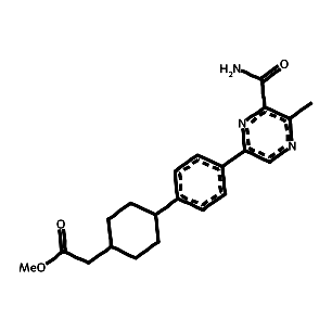 COC(=O)CC1CCC(c2ccc(-c3cnc(C)c(C(N)=O)n3)cc2)CC1